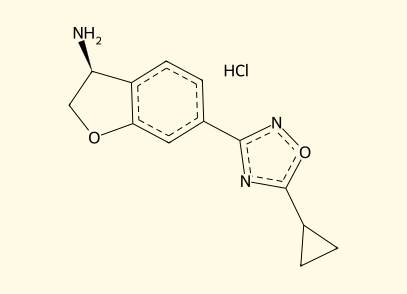 Cl.N[C@@H]1COc2cc(-c3noc(C4CC4)n3)ccc21